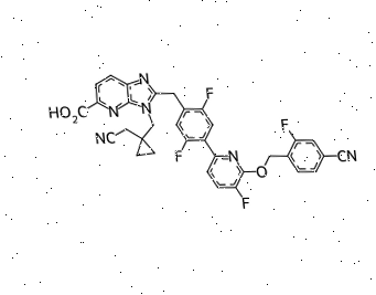 N#CCC1(Cn2c(Cc3cc(F)c(-c4ccc(F)c(OCc5ccc(C#N)cc5F)n4)cc3F)nc3ccc(C(=O)O)nc32)CC1